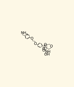 NCc1ccc(OCCOc2ccc(S(=O)(=O)C3(C(=O)NO)CCOCC3)cc2)cc1